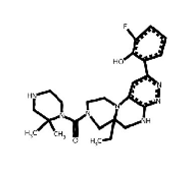 CCC12CNc3nnc(-c4cccc(F)c4O)cc3N1CCN(C(=O)N1CCNCC1(C)C)C2